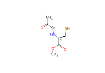 COC(=O)[C@H](CS)N[Se]C(C)=O